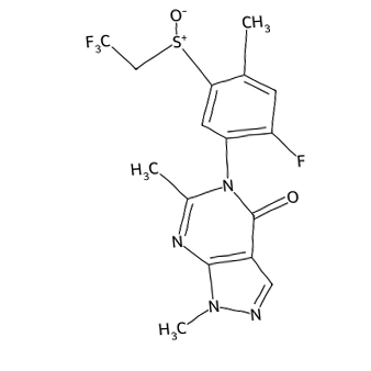 Cc1cc(F)c(-n2c(C)nc3c(cnn3C)c2=O)cc1[S+]([O-])CC(F)(F)F